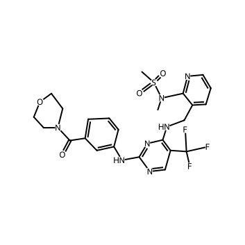 CN(c1ncccc1CNc1nc(Nc2cccc(C(=O)N3CCOCC3)c2)ncc1C(F)(F)F)S(C)(=O)=O